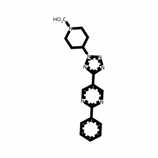 O=C(O)N1CCC(n2nnc(-c3cnc(-c4ccccc4)nc3)n2)CC1